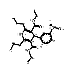 CCCC1=C(C(=O)OCC)C(c2cccc([N+](=O)[O-])c2)C(C(=O)OCC)=C(CCC)N1